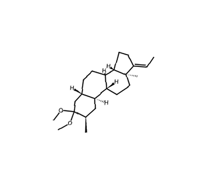 CC=C1CC[C@H]2[C@@H]3CC[C@H]4CC(OC)(OC)[C@H](C)C[C@@H]4[C@H]3CC[C@]12C